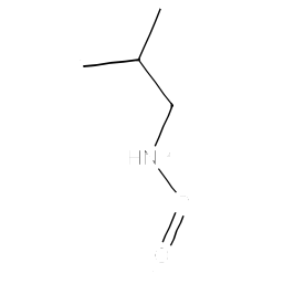 CC(C)CNP=O